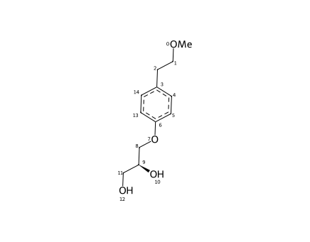 COCCc1ccc(OC[C@@H](O)CO)cc1